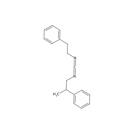 CC(CN=C=NCCc1ccccc1)c1ccccc1